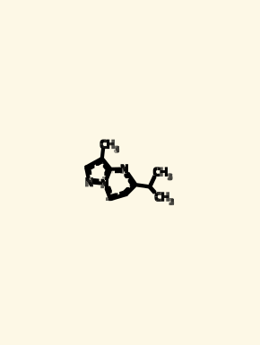 Cc1cnn2[c]cc(C(C)C)nc12